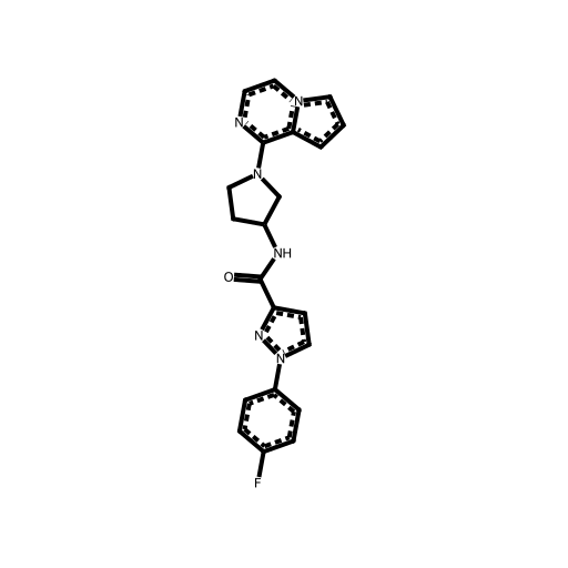 O=C(NC1CCN(c2nccn3cccc23)C1)c1ccn(-c2ccc(F)cc2)n1